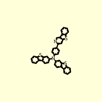 c1ccc2c(c1)sc1cc(N(c3ccc(-c4cc5sc6ccccc6c5cn4)cc3)c3ccc4c(c3)sc3ccccc34)ccc12